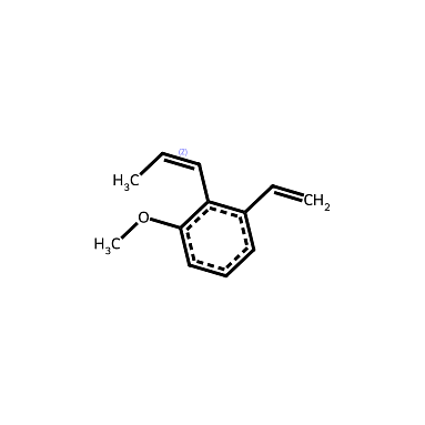 C=Cc1cccc(OC)c1/C=C\C